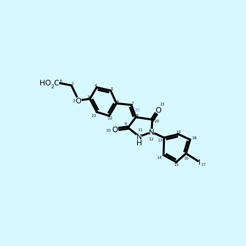 O=C(O)COc1ccc(/C=C2\C(=O)NN(c3ccc(I)cc3)C2=O)cc1